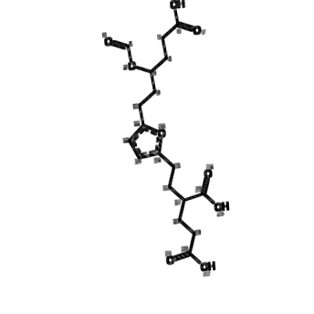 O=COC(CCC(=O)O)CCc1ccc(CCC(CCC(=O)O)C(=O)O)o1